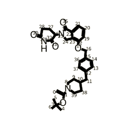 C=C(OC(C)(C)C)N1CCC(Cc2ccc(COc3cccc4c3CN(C3CCC(=O)NC3=O)C4=O)cc2)CC1